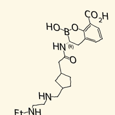 CCNCCNCC1CCC(CC(=O)N[C@H]2Cc3cccc(C(=O)O)c3OB2O)C1